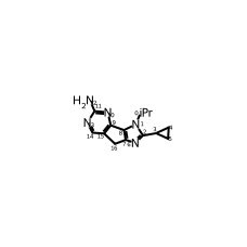 CC(C)n1c(C2CC2)nc2c1-c1nc(N)ncc1C2